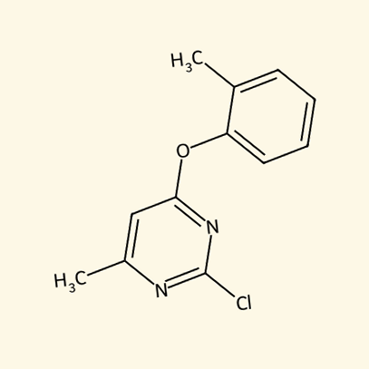 Cc1cc(Oc2ccccc2C)nc(Cl)n1